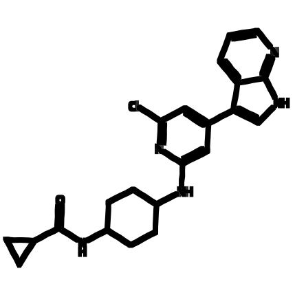 O=C(NC1CCC(Nc2cc(-c3c[nH]c4ncccc34)cc(Cl)n2)CC1)C1CC1